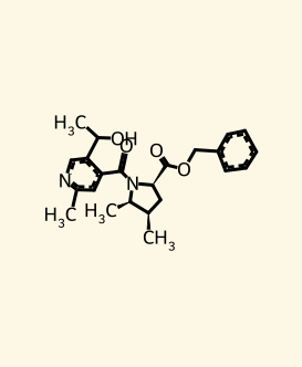 Cc1cc(C(=O)N2[C@@H](C(=O)OCc3ccccc3)C[C@@H](C)[C@H]2C)c(C(C)O)cn1